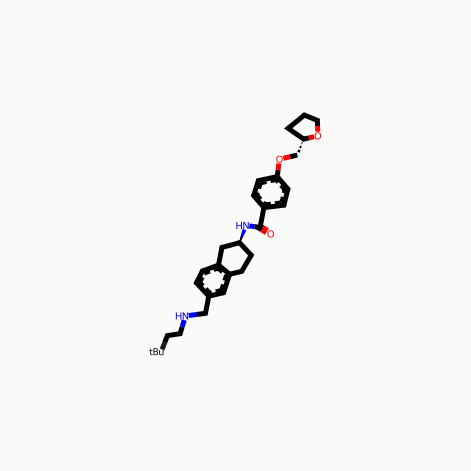 CC(C)(C)CCNCc1ccc2c(c1)CC[C@H](NC(=O)c1ccc(OC[C@@H]3CCCO3)cc1)C2